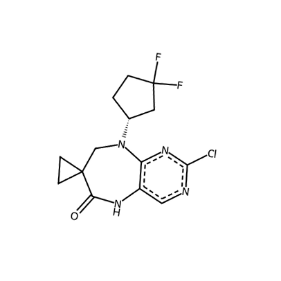 O=C1Nc2cnc(Cl)nc2N([C@@H]2CCC(F)(F)C2)CC12CC2